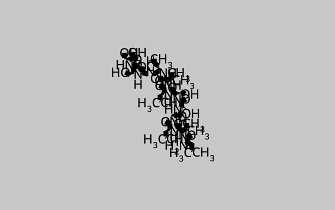 CC(C)C[C@H](NC(=O)[C@H](CO)NC(=O)[C@H](CO)NC(=O)CNC(=O)[C@H](CC(C)C)NC(=O)[C@@H](NC(=O)[C@@H](N)CC(C)C)C(C)C)C(=O)N[C@H](C(=O)N[C@@H](CC(C)C)C(=O)NCC(=O)N[C@@H](CO)C(=O)N[C@@H](CO)C(=O)O)C(C)C